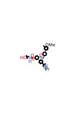 COc1ccc([C@H]2CC[C@H](CN(c3cccc(-c4cnn(C(C)C)c4)c3)C(=O)[C@H]3CC[C@H](OC(=O)NCC(C)(C)O)CC3)CC2)cc1C